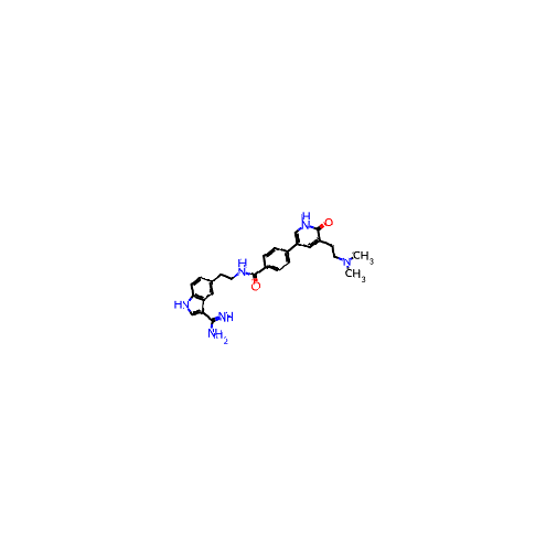 CN(C)CCc1cc(-c2ccc(C(=O)NCCc3ccc4[nH]cc(C(=N)N)c4c3)cc2)c[nH]c1=O